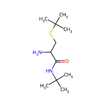 CC(C)(C)NC(=O)C(N)CSC(C)(C)C